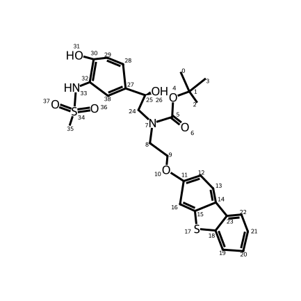 CC(C)(C)OC(=O)N(CCOc1ccc2c(c1)sc1ccccc12)C[C@H](O)c1ccc(O)c(NS(C)(=O)=O)c1